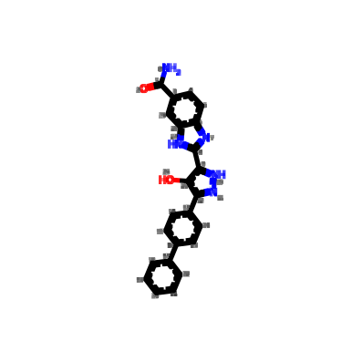 NC(=O)c1ccc2nc(-c3[nH]nc(-c4ccc(-c5ccccc5)cc4)c3O)[nH]c2c1